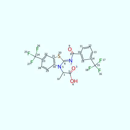 CC(C(=O)O)n1c(=NC(=O)c2cccc(C(F)(F)F)c2)sc2cc(C(F)(F)F)ccc21